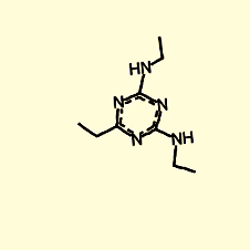 CCNc1nc(CC)nc(NCC)n1